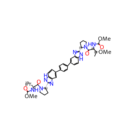 COC(=O)N[C@H](C(=O)N1CCC[C@H]1c1nc2cc(-c3ccc(-c4ccc5[nH]c([C@@H]6CCCN6C(=O)[C@@H](NC(=O)OC)[C@@H](C)OC)nc5c4)cc3)ccc2[nH]1)C(C)C